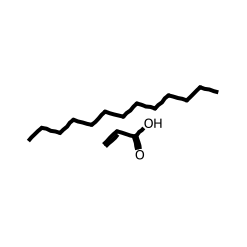 C=CC(=O)O.CCCCCCCCCCCCC